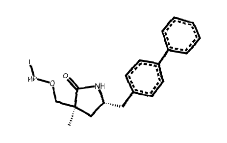 C[C@@]1(COPI)C[C@@H](Cc2ccc(-c3ccccc3)cc2)NC1=O